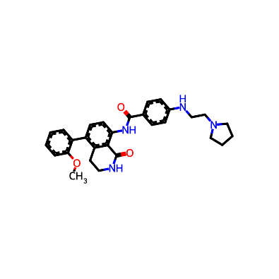 COc1ccccc1-c1ccc(NC(=O)c2ccc(NCCN3CCCC3)cc2)c2c1CCNC2=O